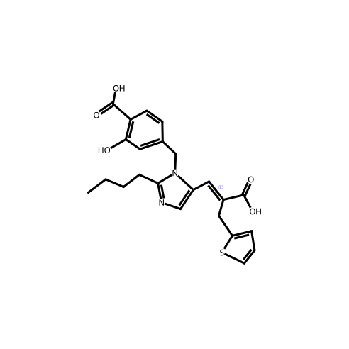 CCCCc1ncc(/C=C(\Cc2cccs2)C(=O)O)n1Cc1ccc(C(=O)O)c(O)c1